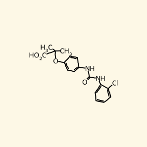 CC(C)(Oc1ccc(NC(=O)Nc2ccccc2Cl)cc1)C(=O)O